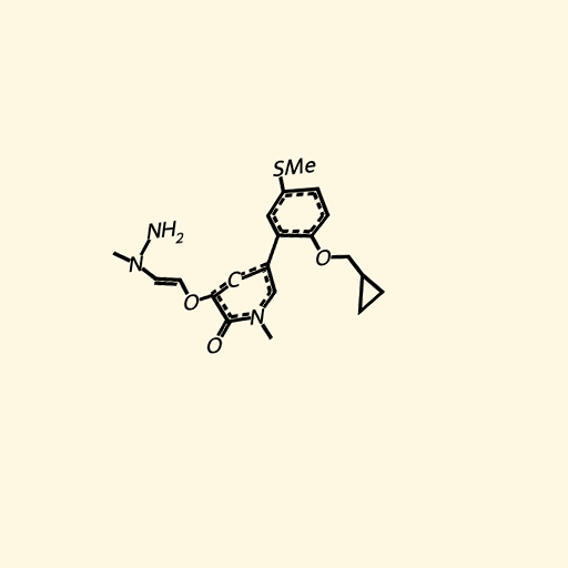 CSc1ccc(OCC2CC2)c(-c2cc(O/C=C/N(C)N)c(=O)n(C)c2)c1